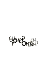 COc1ccc(-c2cc3ccc(N4CCN[C@@H](C)C4)cc3c(=O)o2)cc1F